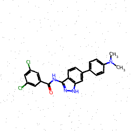 CN(C)c1ccc(-c2ccc3c(NC(=O)c4cc(Cl)cc(Cl)c4)n[nH]c3c2)cc1